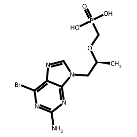 C[C@@H](Cn1cnc2c(Br)nc(N)nc21)OCP(=O)(O)O